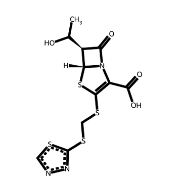 CC(O)[C@H]1C(=O)N2C(C(=O)O)=C(SCSc3nncs3)S[C@H]12